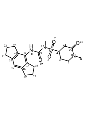 CN1CCC(S(=O)(=O)NC(=O)Nc2c3c(cc4c2CCC4)CCC3)CC1=O